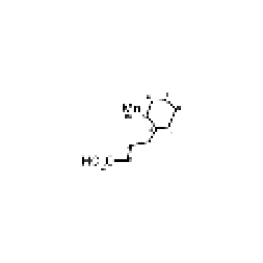 O=C(O)CCCC1CCCCC1.[Mn]